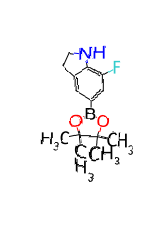 CC1(C)OB(c2cc(F)c3c(c2)CCN3)OC1(C)C